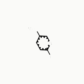 CCc1ccc(OC)cn1